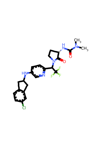 CN(C)C(=O)N[C@H]1CCN(C(c2ccc(NC3Cc4ccc(Cl)cc4C3)cn2)C(F)(F)F)C1=O